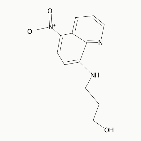 O=[N+]([O-])c1ccc(NCCCO)c2ncccc12